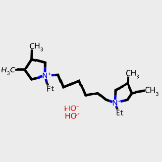 CC[N+]1(CCCCCC[N+]2(CC)CC(C)C(C)C2)CC(C)C(C)C1.[OH-].[OH-]